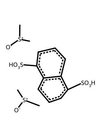 C[S+](C)[O-].C[S+](C)[O-].O=S(=O)(O)c1cccc2c(S(=O)(=O)O)cccc12